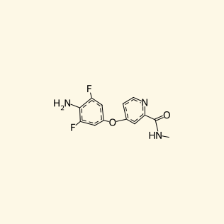 CNC(=O)c1cc(Oc2cc(F)c(N)c(F)c2)ccn1